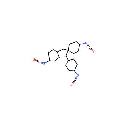 O=C=NC1CCC(CC2(CC3CCC(N=C=O)CC3)CCC(N=C=O)CC2)CC1